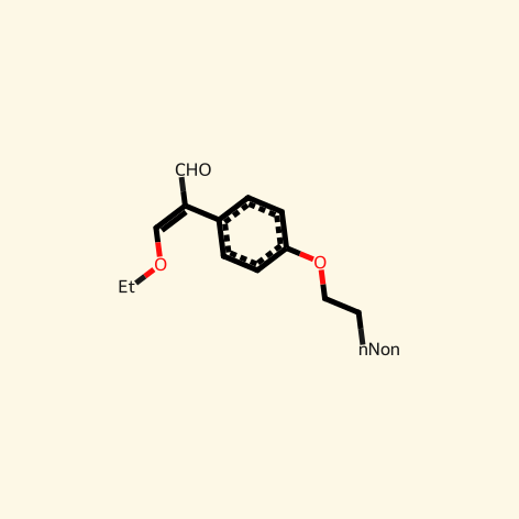 CCCCCCCCCCCOc1ccc(/C(C=O)=C\OCC)cc1